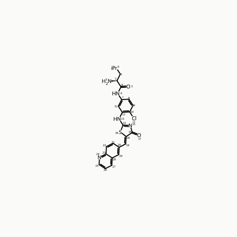 CC(C)C[C@H](N)C(=O)Nc1ccc(Cl)c(NC2=NC(=O)/C(=C/c3ccc4ncccc4c3)S2)c1